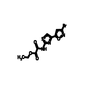 CCOC(=O)C(=O)Nc1nc(-c2cc(Br)no2)cs1